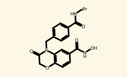 CC(C)NC(=O)c1ccc(CN2C(=O)COc3ccc(C(=O)NO)cc32)cc1